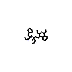 C=CC1=NC(C=C)C(CCC(C)(/C=C\C)/N=C(\C=C/C)CC2CCCC2)c2ccccc21